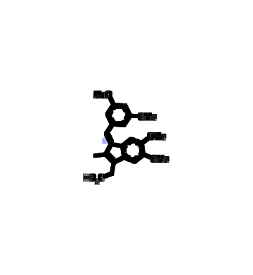 COc1cc(/C=C2/C(C)=C(CC(=O)O)c3cc(OC)c(OC)cc32)cc(OC)c1